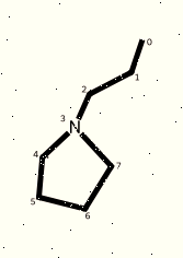 CCCN1[CH]CCC1